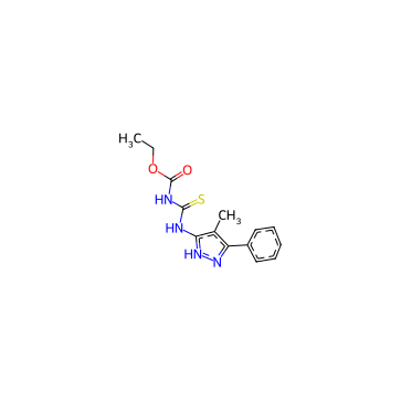 CCOC(=O)NC(=S)Nc1[nH]nc(-c2ccccc2)c1C